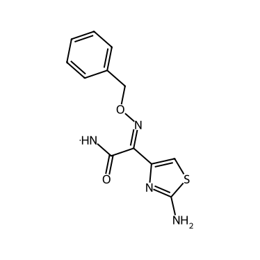 [NH]C(=O)C(=NOCc1ccccc1)c1csc(N)n1